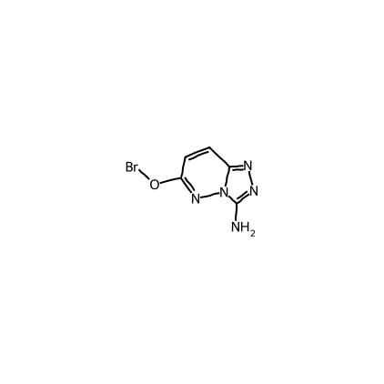 Nc1nnc2ccc(OBr)nn12